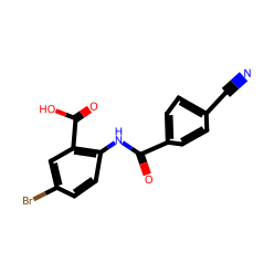 N#Cc1ccc(C(=O)Nc2ccc(Br)cc2C(=O)O)cc1